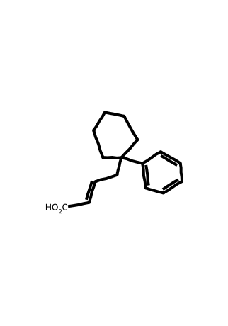 O=C(O)C=CCC1(c2ccccc2)CCCCC1